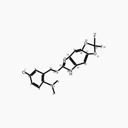 CN(C)c1ccc(Cl)cc1CSc1nc2cc3c(cc2[nH]1)OC(F)(F)O3